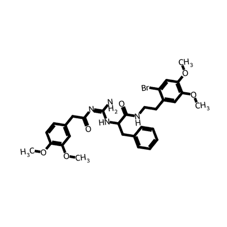 COc1ccc(CC(=O)N=C(N)NC(Cc2ccccc2)C(=O)NCCc2cc(OC)c(OC)cc2Br)cc1OC